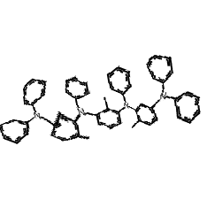 Cc1ccc(N(c2ccccc2)c2ccccc2)cc1N(c1ccccc1)c1cccc(N(c2ccccc2)c2cc(N(c3ccccc3)c3ccccc3)ccc2C)c1C